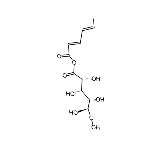 C/C=C/C=C/C(=O)OC(=O)[C@H](O)[C@@H](O)[C@H](O)[C@H](O)CO